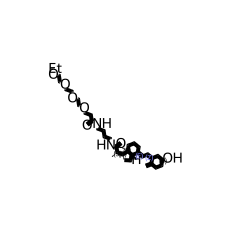 C=C1CC[C@H](O)C/C1=C/C=C1\CCC[C@]2(C)[C@@H]([C@H](C)C(=O)NCCCCNC(=O)CCOCCOCCOCCOCC)CC[C@@H]12